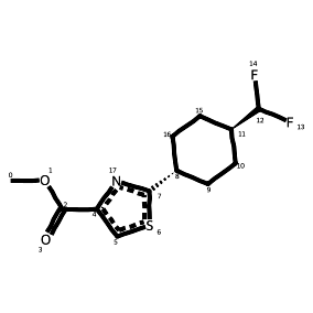 COC(=O)c1csc([C@H]2CC[C@H](C(F)F)CC2)n1